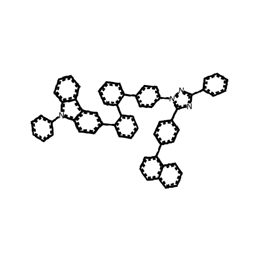 c1ccc(-c2nc(-c3ccc(-c4cccc5ccccc45)cc3)n(-c3ccc(-c4ccccc4-c4ccccc4-c4ccc5c(c4)c4ccccc4n5-c4ccccc4)cc3)n2)cc1